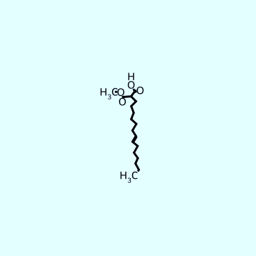 CCCCCC/C=C/CCCCCCC(C(=O)O)C(=O)OC